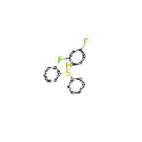 Fc1ccc([SH](c2ccccc2)c2ccccc2)c(F)c1